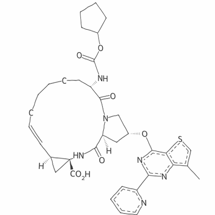 Cc1csc2c(O[C@@H]3C[C@H]4C(=O)N[C@]5(C(=O)O)C[C@H]5C=CCCCCC[C@H](NC(=O)OC5CCCC5)C(=O)N4C3)nc(-c3ccccn3)nc12